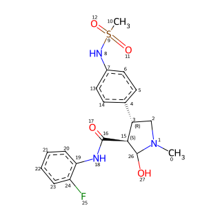 CN1C[C@@H](c2ccc(NS(C)(=O)=O)cc2)[C@H](C(=O)Nc2ccccc2F)C1O